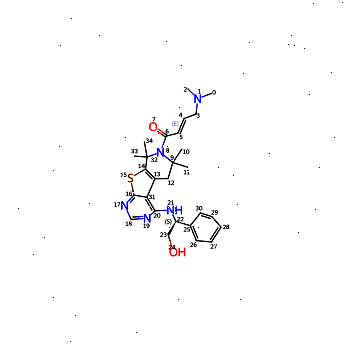 CN(C)C/C=C/C(=O)N1C(C)(C)Cc2c(sc3ncnc(N[C@H](CO)c4ccccc4)c23)C1(C)C